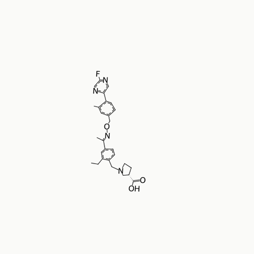 CCc1cc(/C(C)=N/OCc2ccc(-c3cnc(F)cn3)c(C)c2)ccc1CN1CC[C@H](C(=O)O)C1